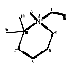 CC[N+]1(C)CCCCC1(C)C